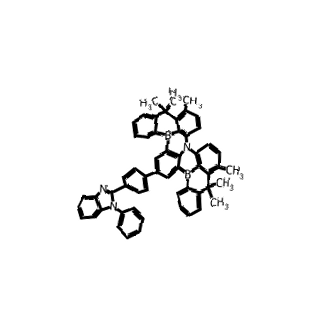 Cc1ccc2c3c1C(C)(C)c1ccccc1B3c1cc(-c3ccc(-c4nc5ccccc5n4-c4ccccc4)cc3)cc3c1N2c1ccc(C)c2c1B3c1ccccc1C2(C)C